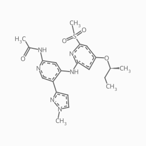 CC[C@H](C)Oc1cc(Nc2cc(NC(C)=O)ncc2-c2ccn(C)n2)nc(S(C)(=O)=O)c1